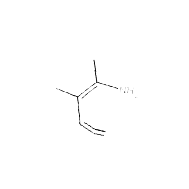 C=CC(C)=C(C)N